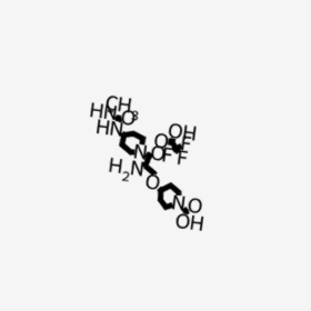 CNC(=O)NC1CCN(C(=O)C(N)COC2CCN(C(=O)O)CC2)CC1.O=C(O)C(F)(F)F